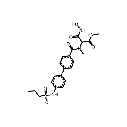 CCCS(=O)(=O)Nc1ccc(-c2ccc(C(=O)N(C)C(C(=O)NC)C(=O)NO)cc2)cc1